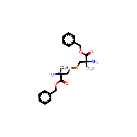 N[C@@](CSSC[C@](N)(C(=O)O)C(=O)OCc1ccccc1)(C(=O)O)C(=O)OCc1ccccc1